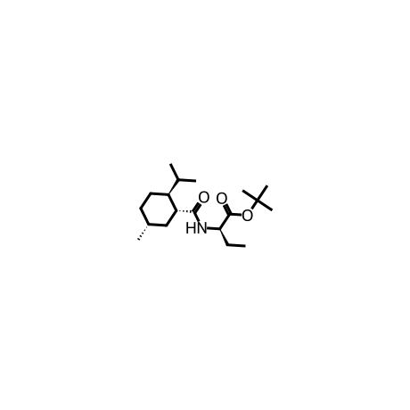 CC[C@@H](NC(=O)[C@@H]1C[C@H](C)CC[C@H]1C(C)C)C(=O)OC(C)(C)C